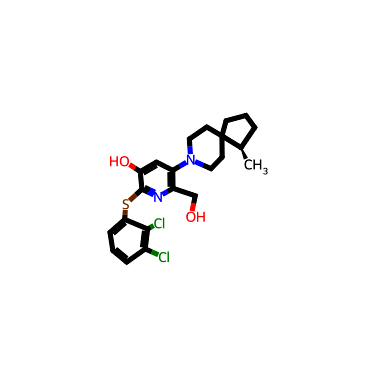 C[C@@H]1CCCC12CCN(c1cc(O)c(Sc3cccc(Cl)c3Cl)nc1CO)CC2